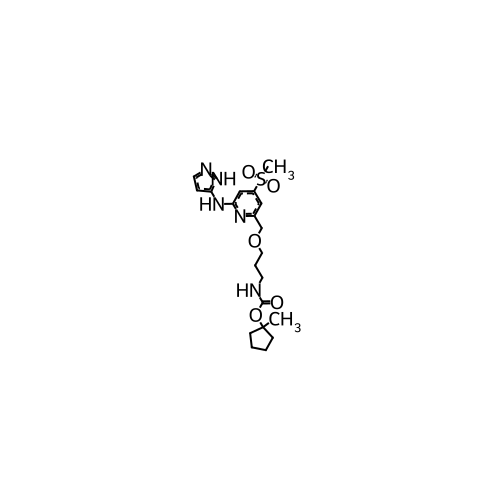 CC1(OC(=O)NCCCOCc2cc(S(C)(=O)=O)cc(Nc3ccn[nH]3)n2)CCCC1